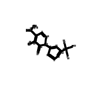 C[AsH]c1cnn(-c2cccc(C(F)(F)F)c2)c(=O)c1Cl